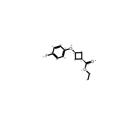 CCOC(=O)[C@H]1C[C@@H](Oc2ccc(F)cc2)C1